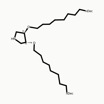 CCCCCCCCCCCCCCCCCCO[C@@H]1CNC[C@H]1OCCCCCCCCCCCCCCCCCC